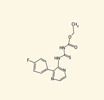 CCOC(=O)NC(=S)Nc1nccnc1-c1ccc(F)cc1